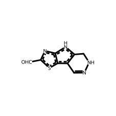 O=Cc1nc2[nH]c3c(c2s1)C=NNC3